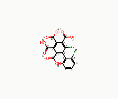 O=C(O)c1c(F)c(-c2ccccc2F)c(C(=O)O)c(C(=O)O)c1C(=O)O